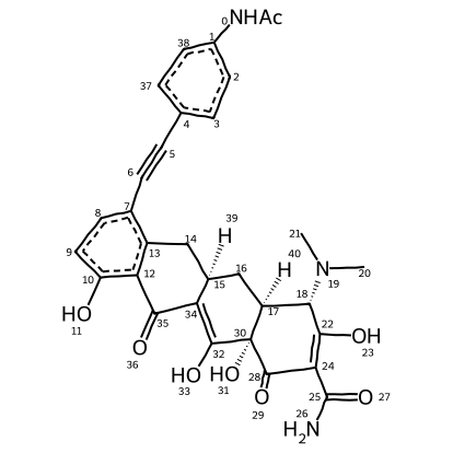 CC(=O)Nc1ccc(C#Cc2ccc(O)c3c2C[C@H]2C[C@H]4[C@H](N(C)C)C(O)=C(C(N)=O)C(=O)[C@@]4(O)C(O)=C2C3=O)cc1